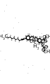 CCCCCCCCC#Cc1ccc(CN(Cc2ccc(OCC(=O)OC)c(C(=O)OC)c2)C(C)=O)cc1